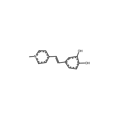 C[n+]1ccc(/C=C/c2ccc(O)c(O)c2)cc1